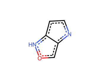 c1cc2[nH]occ-2n1